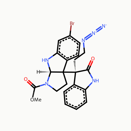 COC(=O)N1CCC2([C@@]3(CCN=[N+]=[N-])C(=O)Nc4ccccc43)c3ccc(Br)cc3N[C@H]12